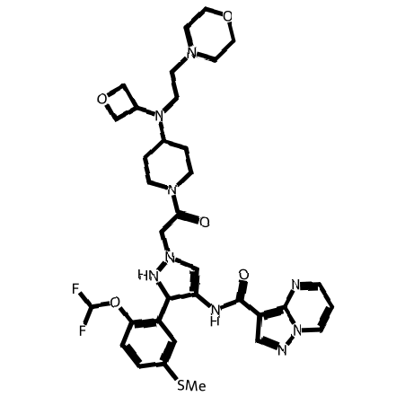 CSc1ccc(OC(F)F)c(C2NN(CC(=O)N3CCC(N(CCN4CCOCC4)C4COC4)CC3)C=C2NC(=O)c2cnn3cccnc23)c1